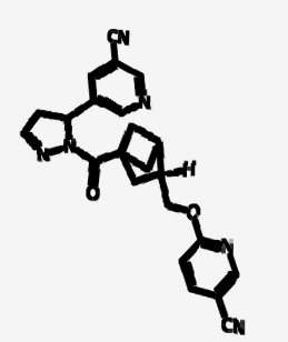 N#Cc1ccc(OC[C@@H]2CC3(C(=O)N4N=CCC4c4cncc(C#N)c4)CC2C3)nc1